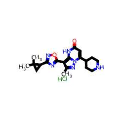 Cc1nn2c(C3CCNCC3)cc(=O)[nH]c2c1-c1nc(C2CC2(C)C)no1.Cl